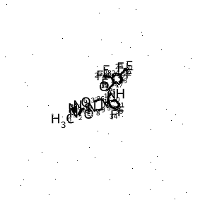 Cn1cc(S(=O)(=O)N2CCN(C3(CNC(=O)c4ccc(C(F)(F)F)cc4C(F)(F)F)CCC(F)(F)C3)CC2)nn1